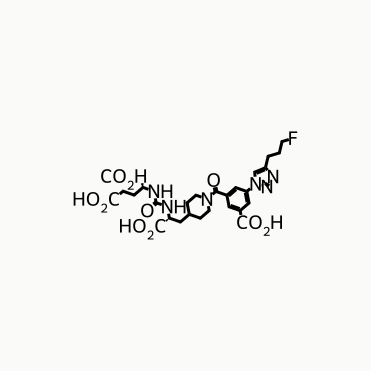 O=C(O)CC[C@H](NC(=O)N[C@H](CC1CCN(C(=O)c2cc(C(=O)O)cc(-n3cc(CCCF)nn3)c2)CC1)C(=O)O)C(=O)O